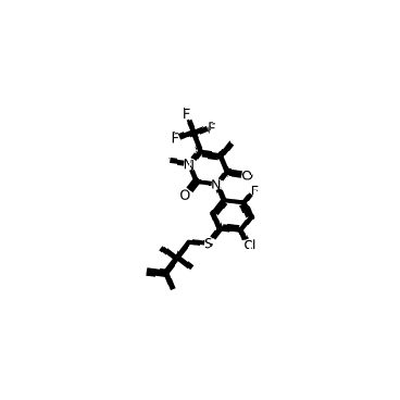 C=C(C)C(C)(C)CSc1cc(-n2c(=O)c(C)c(C(F)(F)F)n(C)c2=O)c(F)cc1Cl